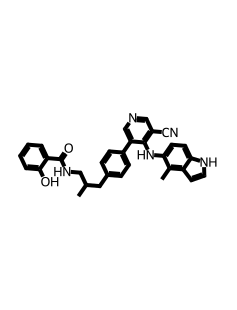 Cc1c(Nc2c(C#N)cncc2-c2ccc(CC(C)CNC(=O)c3ccccc3O)cc2)ccc2[nH]ccc12